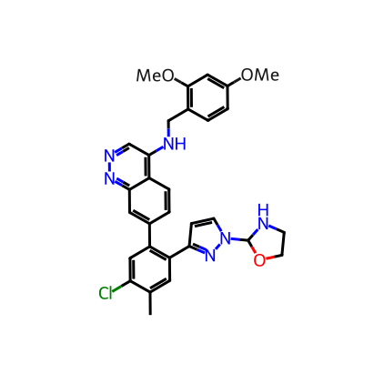 COc1ccc(CNc2cnnc3cc(-c4cc(Cl)c(C)cc4-c4ccn(C5NCCO5)n4)ccc23)c(OC)c1